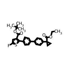 CCOC(=O)C1(c2ccc(-c3ccc(-c4sc(F)cc4C(=O)OC(C)(C)C)cc3)cc2)CC1